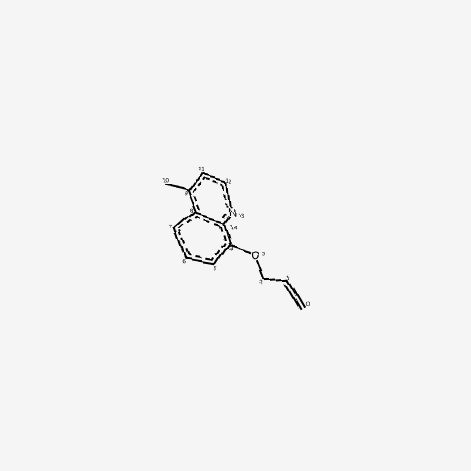 C=CCOc1cccc2c(C)ccnc12